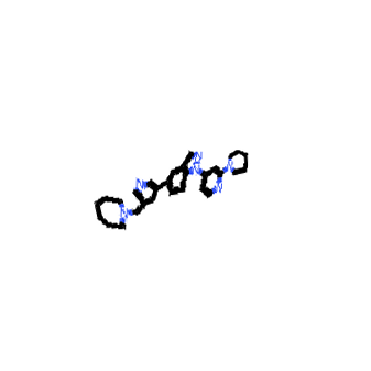 c1cc(-n2ncc3cc(-c4cncc(CN5CCCCCC5)c4)ccc32)cc(N2CCCCC2)n1